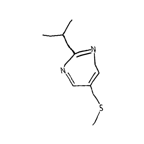 CSc1cnc(C(C)C)nc1